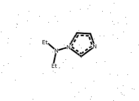 CCN(CC)n1[c]ncc1